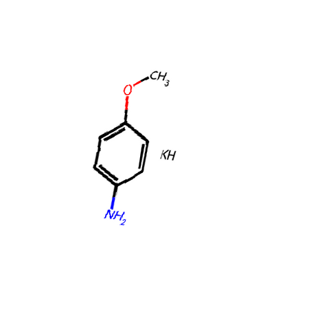 COc1ccc(N)cc1.[KH]